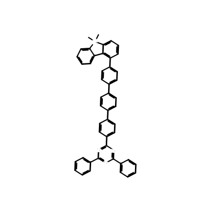 C[Si]1(C)c2ccccc2-c2c(-c3ccc(-c4ccc(-c5ccc(-c6nc(-c7ccccc7)nc(-c7ccccc7)n6)cc5)cc4)cc3)cccc21